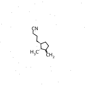 C=C1CC[C@H](CCCC#N)[C@H]1C